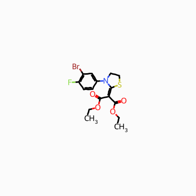 CCOC(=O)C(C(=O)OCC)=C1SCCN1c1ccc(F)c(Br)c1